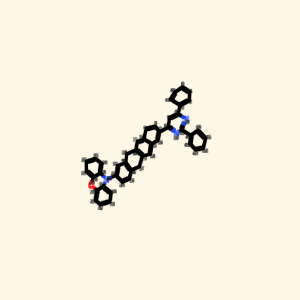 c1ccc(-c2cc(-c3ccc4cc5c(cc4c3)Cc3ccc(N4c6ccccc6Oc6ccccc64)cc3C5)nc(-c3ccccc3)n2)cc1